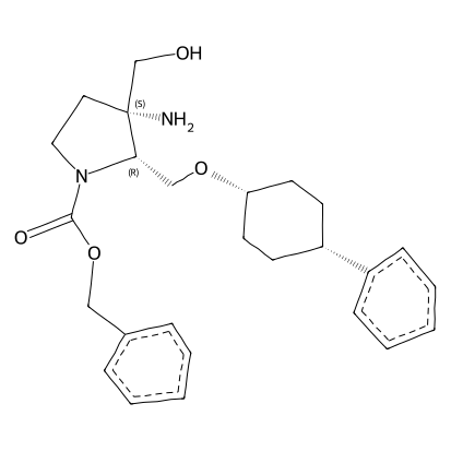 N[C@@]1(CO)CCN(C(=O)OCc2ccccc2)[C@H]1CO[C@H]1CC[C@@H](c2ccccc2)CC1